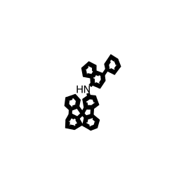 c1ccc(-c2ccc(Nc3ccc4c(c3)C3(c5ccccc5-c5ccccc53)c3ccccc3-4)c3ccccc23)cc1